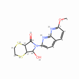 COc1ccc2ccc(N3C(=O)C4SCCSC4C3O)nc2n1